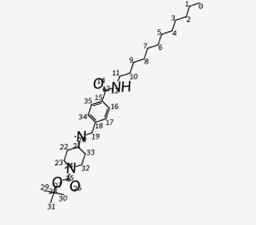 CCCCCCCCCCCCNC(=O)c1ccc(C[N]C2CCN(C(=O)OC(C)(C)C)CC2)cc1